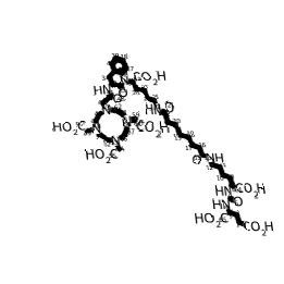 O=C(O)CC[C@H](NC(=O)N[C@@H](CCCCNC(=O)CCCCCCC(=O)NCCCCC(NC(=O)C(Cc1ccccc1)NC(=O)CN1CCN(CC(=O)O)CCN(CC(=O)O)CCN(CC(=O)O)CC1)C(=O)O)C(=O)O)C(=O)O